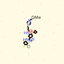 COCCN1CCN(CC=CC(=O)Nc2cc3c(Nc4ccc(F)c(Cl)c4)ncnc3cc2OC2CCC2)CC1